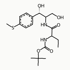 CCC(NC(=O)OC(C)(C)C)C(=O)NC(CO)[C@@H](O)c1ccc(SC)cc1